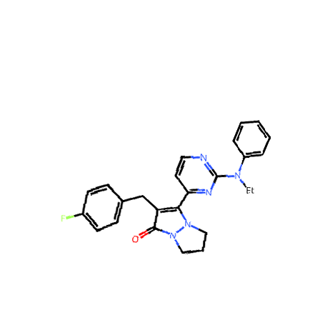 CCN(c1ccccc1)c1nccc(-c2c(Cc3ccc(F)cc3)c(=O)n3n2CCC3)n1